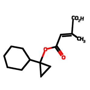 C/C(=C\C(=O)OC1(C2CCCCC2)CC1)C(=O)O